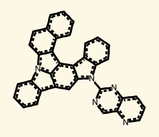 c1ccc2c(c1)ccc1c2c2c3c4ccccc4n(-c4ncc5ncccc5n4)c3cc3c4ccccc4n1c32